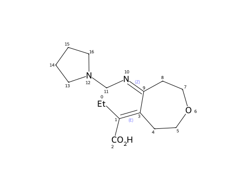 CC/C(C(=O)O)=C1/CCOCC/C1=N/CN1CCCC1